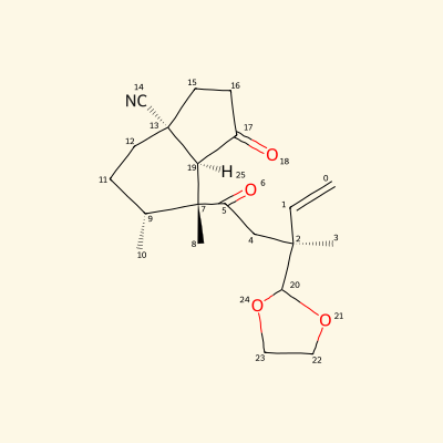 C=C[C@](C)(CC(=O)[C@]1(C)[C@H](C)CC[C@@]2(C#N)CCC(=O)[C@H]21)C1OCCO1